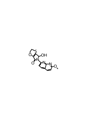 COc1ccc2ccc(N3C(=O)C4=C(SCCO4)C3O)nc2n1